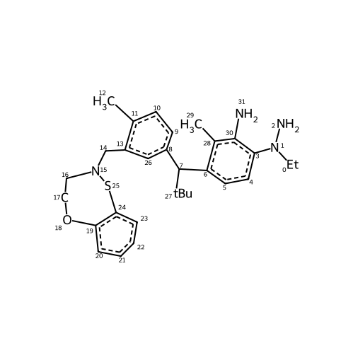 CCN(N)c1ccc(C(c2ccc(C)c(CN3CCOc4ccccc4S3)c2)C(C)(C)C)c(C)c1N